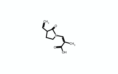 C=CC1CCN(C=C(C)C(=O)O)C1=O